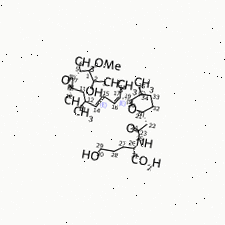 COC(C(C)O)C(C)[C@H]1O[C@]1(C)CC(C)/C=C/C=C(\C)[C@H]1O[C@@H](CC(=O)NC(CCCO)C(=O)O)CC[C@@H]1C